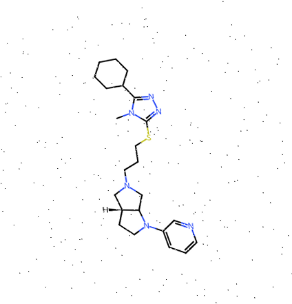 Cn1c(SCCCN2CC3[C@H](CCN3c3cccnc3)C2)nnc1C1CCCCC1